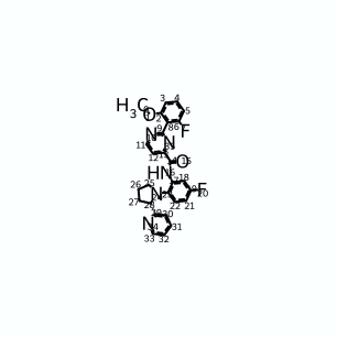 COc1cccc(F)c1-c1nccc(C(=O)Nc2cc(F)ccc2N2CCC[C@H]2c2ccccn2)n1